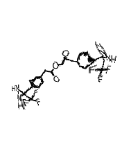 O=C(Cc1ccc(C2(C(F)(F)F)NN2)cc1)OCC(=O)c1ccc(C2(C(F)(F)F)NN2)cc1